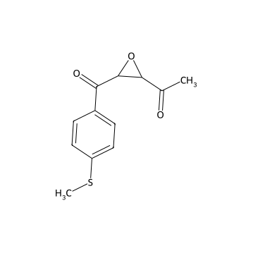 CSc1ccc(C(=O)C2OC2C(C)=O)cc1